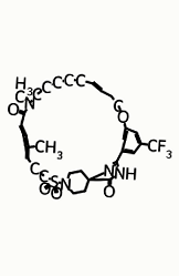 Cc1cc2ccc1CCS(=O)(=O)N1CCC3(CC1)N=C(NC3=O)c1cc(cc(C(F)(F)F)c1)OCC/C=C/CCCCCN(C)C2=O